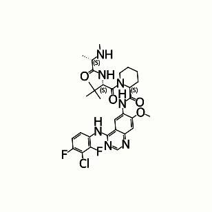 CN[C@@H](C)C(=O)N[C@H](C(=O)N1CCCC[C@H]1C(=O)Nc1cc2c(Nc3ccc(F)c(Cl)c3F)ncnc2cc1OC)C(C)(C)C